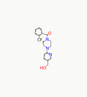 O=C(c1ccccc1C(F)(F)F)N1CCN(c2ccc(CO)cn2)CC1